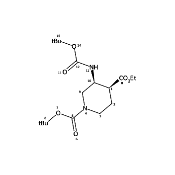 CCOC(=O)[C@H]1CCN(C(=O)OC(C)(C)C)C[C@H]1NC(=O)OC(C)(C)C